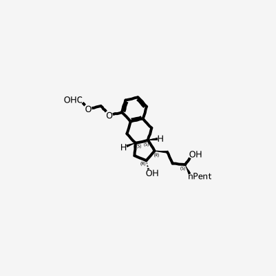 CCCCC[C@H](O)CC[C@@H]1[C@H]2Cc3cccc(OCOC=O)c3C[C@H]2C[C@H]1O